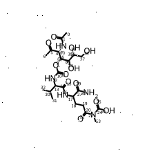 CC(=O)N[C@@H](C(C)=O)[C@@H](OC(=O)NC(C(=O)NC(CCC(=O)N(C)C(=O)O)C(N)=O)C(C)C)[C@H](O)[C@H](O)CO